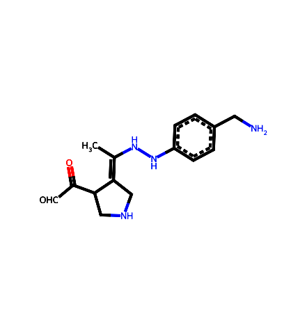 CC(NNc1ccc(CN)cc1)=C1CNCC1C(=O)C=O